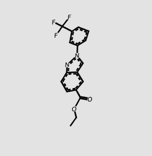 CCOC(=O)c1ccc2nn(-c3cccc(C(F)(F)F)c3)cc2c1